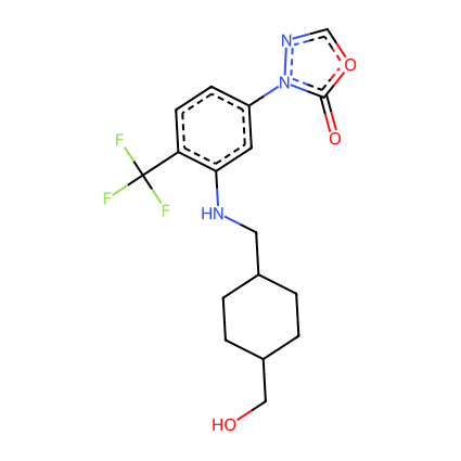 O=c1ocnn1-c1ccc(C(F)(F)F)c(NCC2CCC(CO)CC2)c1